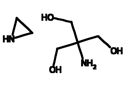 C1CN1.NC(CO)(CO)CO